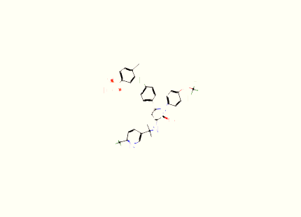 CC(C)(N[C@H]1C[C@@H](c2ccc(F)cc2)N(c2ccc(OC(F)(F)F)cc2)C1=O)c1ccc(C(F)(F)F)nc1.Cc1ccc(S(=O)(=O)O)cc1